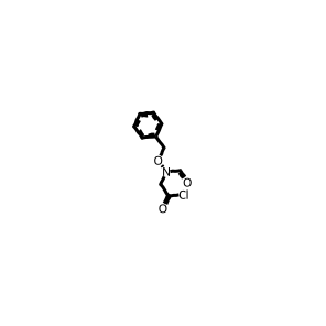 O=CN(CC(=O)Cl)OCc1ccccc1